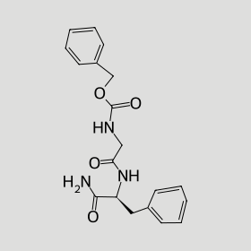 NC(=O)[C@H](Cc1ccccc1)NC(=O)CNC(=O)OCc1ccccc1